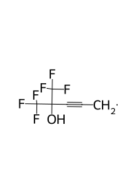 [CH2]C#CC(O)(C(F)(F)F)C(F)(F)F